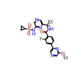 CCOc1cncc(-c2ccc(C(=O)N[C@H](CC)c3cncc(NS(=O)(=O)C4CC4)n3)c(F)c2)n1